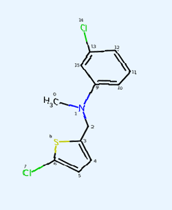 CN(Cc1ccc(Cl)s1)c1cc[c]c(Cl)c1